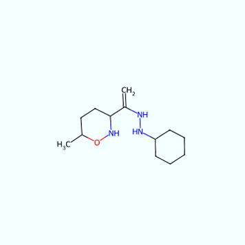 C=C(NNC1CCCCC1)C1CCC(C)ON1